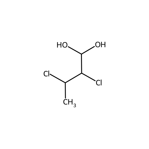 CC(Cl)C(Cl)C(O)O